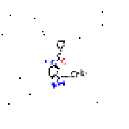 O=CCCC1NN=Cc2ccc(NC(=O)CCC3CCCC3)cc21